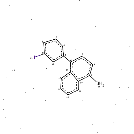 Bc1ccc(-c2cccc(I)c2)c2ccccc12